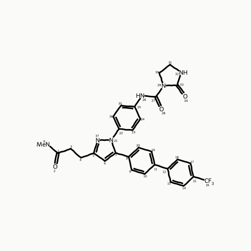 CNC(=O)CCc1cc(-c2ccc(-c3ccc(C(F)(F)F)cc3)cc2)n(-c2ccc(NC(=O)N3CCNC3=O)cc2)n1